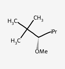 CO[C@@H](C(C)C)C(C)(C)C